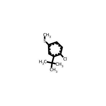 CSc1ccc(Cl)c(C(C)(C)C)c1